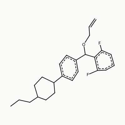 C=CCOC(c1ccc(C2CCC(CCC)CC2)cc1)c1c(F)cccc1F